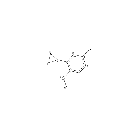 [CH2]c1ccc(SC)c(C2CC2)c1